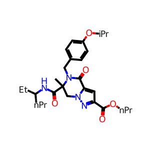 CCCOC(=O)c1cc2n(n1)CC(C)(C(=O)NC(CC)CCC)N(Cc1ccc(OC(C)C)cc1)C2=O